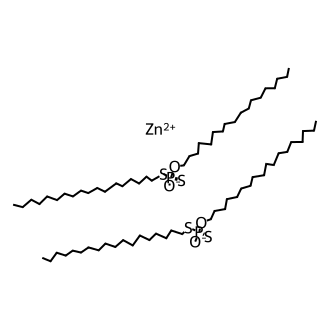 CCCCCCCCCCCCCCCCCCOP([O-])(=S)SCCCCCCCCCCCCCCCCCC.CCCCCCCCCCCCCCCCCCOP([O-])(=S)SCCCCCCCCCCCCCCCCCC.[Zn+2]